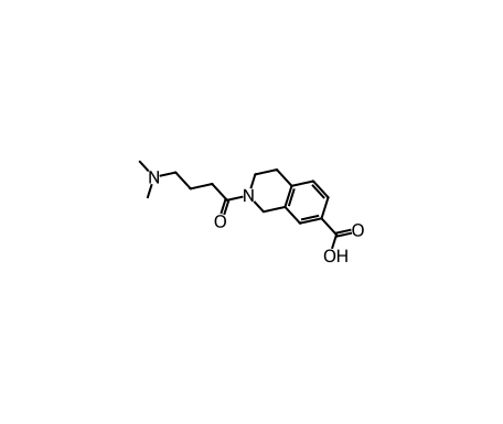 CN(C)CCCC(=O)N1CCc2ccc(C(=O)O)cc2C1